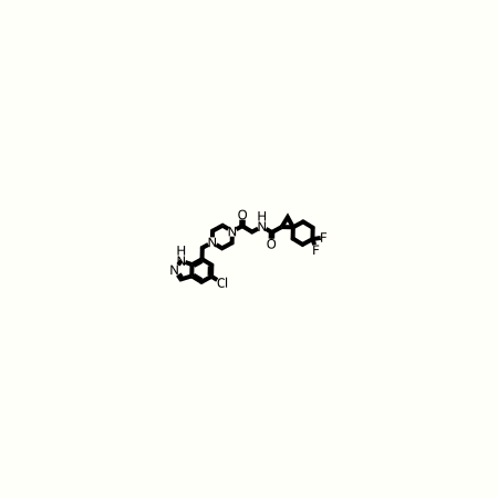 O=C(NCC(=O)N1CCN(Cc2cc(Cl)cc3cn[nH]c23)CC1)C1CC12CCC(F)(F)CC2